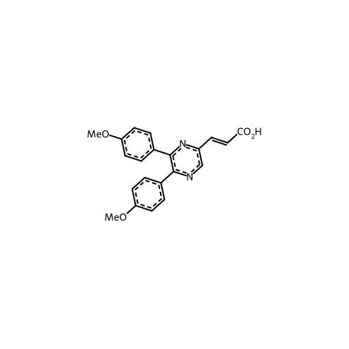 COc1ccc(-c2ncc(C=CC(=O)O)nc2-c2ccc(OC)cc2)cc1